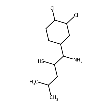 CC(C)CC(S)C(N)C1CCC(Cl)C(Cl)C1